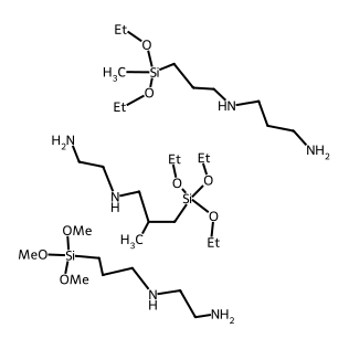 CCO[Si](C)(CCCNCCCN)OCC.CCO[Si](CC(C)CNCCN)(OCC)OCC.CO[Si](CCCNCCN)(OC)OC